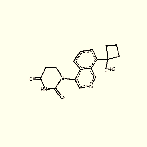 O=CC1(c2cccc3c(N4CCC(=O)NC4=O)cncc23)CCC1